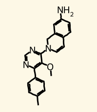 COc1c(-c2ccc(C)cc2)ncnc1N1C=Cc2ccc(N)cc2C1